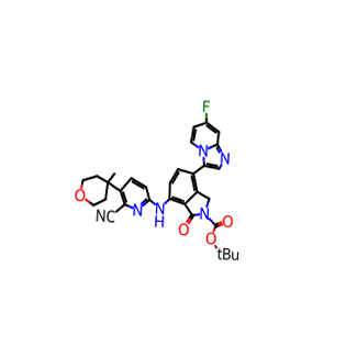 CC(C)(C)OC(=O)N1Cc2c(-c3cnc4cc(F)ccn34)ccc(Nc3ccc(C4(C)CCOCC4)c(C#N)n3)c2C1=O